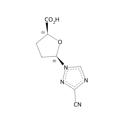 N#Cc1ncn([C@H]2CC[C@@H](C(=O)O)O2)n1